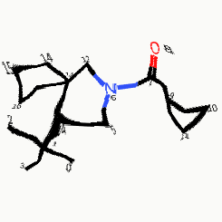 CC(C)(C)C1CN(C(=O)C2CC2)CC12CCC2